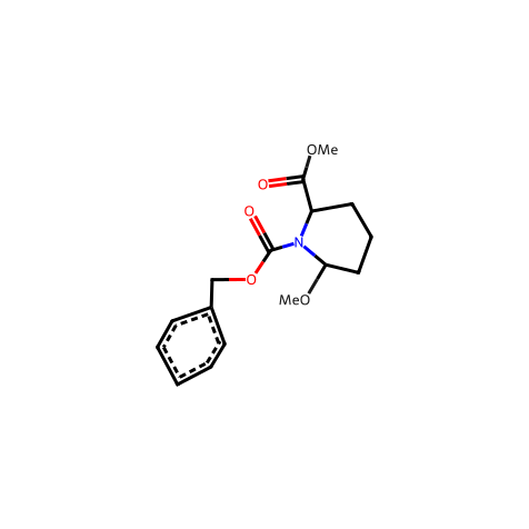 COC(=O)C1CCCC(OC)N1C(=O)OCc1ccccc1